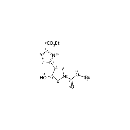 CCOC(=O)c1ccn(C2CN(C(=O)OC(C)(C)C)CC2O)n1